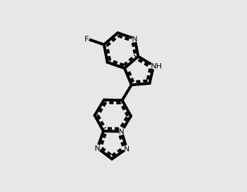 Fc1cnc2[nH]cc(-c3ccc4ncnn4c3)c2c1